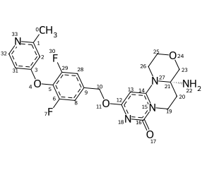 Cc1cc(Oc2c(F)cc(COc3cc4n(c(=O)n3)CC[C@]3(N)COCCN43)cc2F)ccn1